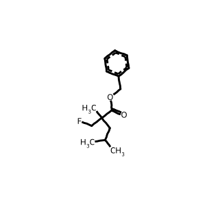 CC(C)CC(C)(CF)C(=O)OCc1ccccc1